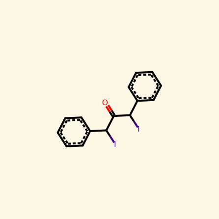 O=C(C(I)c1ccccc1)C(I)c1ccccc1